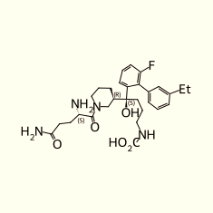 CCc1cccc(-c2c(F)cccc2[C@](O)(CCCNC(=O)O)[C@@H]2CCCN(C(=O)[C@@H](N)CCC(N)=O)C2)c1